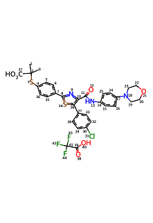 CC(C)(Sc1ccc(-c2nc(C(=O)Nc3ccc(N4CCOCC4)cc3)c(-c3ccc(Cl)cc3)s2)cc1)C(=O)O.O=C(O)C(F)(F)F